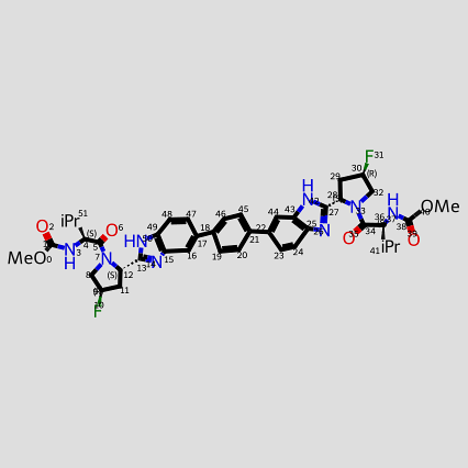 COC(=O)N[C@H](C(=O)N1C[C@H](F)C[C@H]1c1nc2cc(-c3ccc(-c4ccc5nc([C@@H]6C[C@@H](F)CN6C(=O)[C@@H](NC(=O)OC)C(C)C)[nH]c5c4)cc3)ccc2[nH]1)C(C)C